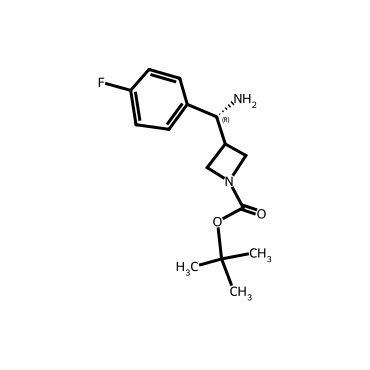 CC(C)(C)OC(=O)N1CC([C@@H](N)c2ccc(F)cc2)C1